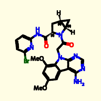 COc1cc(OC)c2c(c1)c1c(N)ncnc1n2CC(=O)N1[C@@H]2C[C@@H]2C[C@H]1C(=O)Nc1cccc(Br)n1